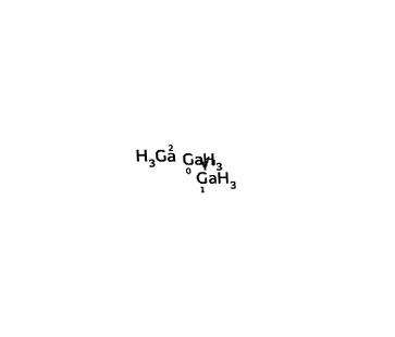 [GaH3].[GaH3].[GaH3].[V]